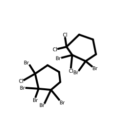 ClC1(Br)CCCC(Br)(Br)C1(Br)Br.ClC1(Cl)CCCC(Br)(Br)C1(Cl)Br